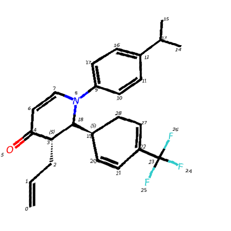 C=CC[C@@H]1C(=O)C=CN(c2ccc(C(C)C)cc2)C1[C@@H]1C=CC(C(F)(F)F)=CC1